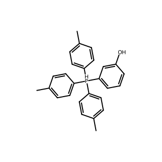 Cc1ccc([PH](c2ccc(C)cc2)(c2ccc(C)cc2)c2cccc(O)c2)cc1